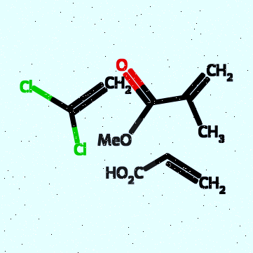 C=C(C)C(=O)OC.C=C(Cl)Cl.C=CC(=O)O